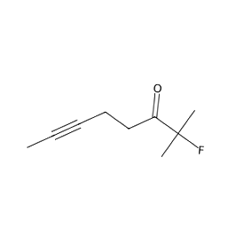 CC#CCCC(=O)C(C)(C)F